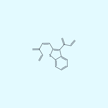 C=CC(=C)/C=C\c1sc2ccccc2c1C(=C)C=C